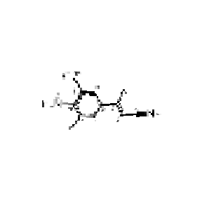 C/C(=C\C#N)c1cc(C)c(N)c(Cl)c1